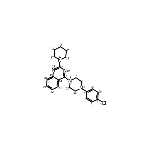 Clc1ccc(N2CCN(c3nc(N4CCCCC4)nc4ccccc34)CC2)cc1